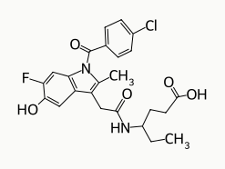 CCC(CCC(=O)O)NC(=O)Cc1c(C)n(C(=O)c2ccc(Cl)cc2)c2cc(F)c(O)cc12